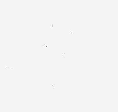 COc1cc(Nc2ncc(-c3ccccc3)nc2C#N)cc(OC)c1